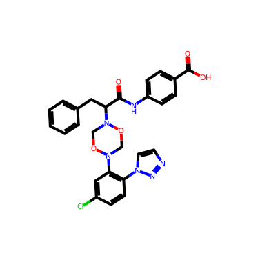 O=C(O)c1ccc(NC(=O)C(Cc2ccccc2)N2CON(c3cc(Cl)ccc3-n3ccnn3)CO2)cc1